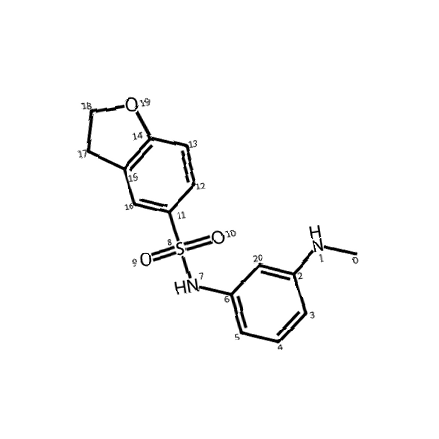 CNc1cccc(NS(=O)(=O)c2ccc3c(c2)CCO3)c1